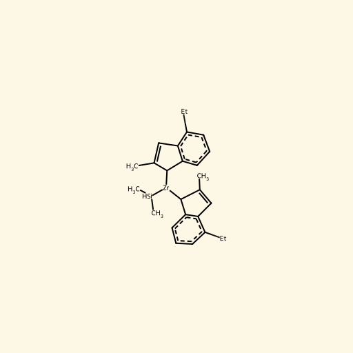 CCc1cccc2c1C=C(C)[CH]2[Zr]([CH]1C(C)=Cc2c(CC)cccc21)[SiH](C)C